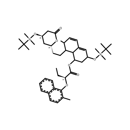 CC[C@H](Oc1c(C)ccc2ccccc12)C(=O)OC1CC(O[Si](C)(C)C(C)(C)C)C=C2C=CC(C)C(CC[C@@H]3C[C@@H](O[Si](C)(C)C(C)(C)C)CC(=O)O3)C21